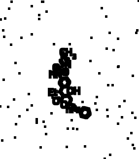 CCC[C@]1(CCc2ccccc2)CC(O)=C([C@@H](CC)c2cccc(NS(=O)(=O)c3cn(C)cn3)c2)C(=O)O1